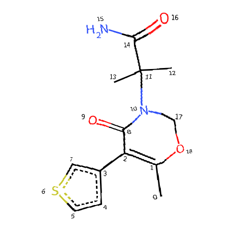 CC1=C(c2ccsc2)C(=O)N(C(C)(C)C(N)=O)CO1